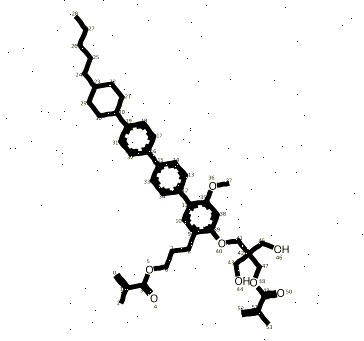 C=C(C)C(=O)OCCCc1cc(-c2ccc(-c3ccc(C4CCC(CCCCC)CC4)cc3)cc2)c(OC)cc1OCC(CO)(CO)COC(=O)C(=C)C